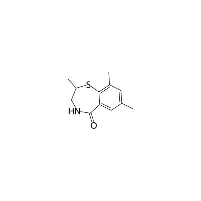 Cc1cc(C)c2c(c1)C(=O)NCC(C)S2